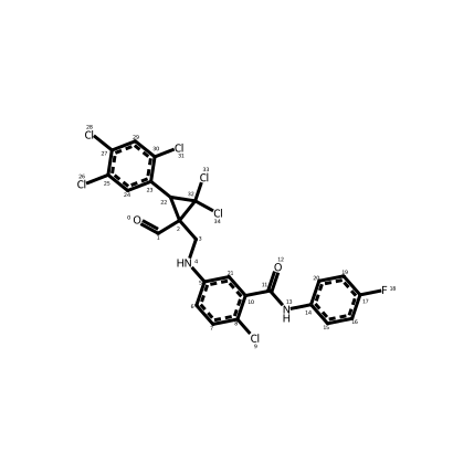 O=CC1(CNc2ccc(Cl)c(C(=O)Nc3ccc(F)cc3)c2)C(c2cc(Cl)c(Cl)cc2Cl)C1(Cl)Cl